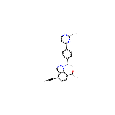 CC#Cc1ccc(C(=O)OC)c2c1cnn2[C@H](C)c1ccc(-c2ccnc(OC)n2)cc1